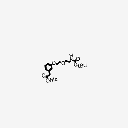 COC(=O)Cc1cccc(OCCOCCNC(=O)OC(C)(C)C)c1